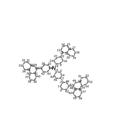 c1cc(-c2ccc(N(c3ccc(-c4cccc5ccccc45)cc3)c3ccc(-c4cc5ccccc5c5ccccc45)cc3)cc2)cc(-c2cc3ccccc3c3ccccc23)c1